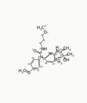 COCCCNC(=O)N(c1ccc(OC)cc1)c1ccnc(N[C@@H](C)C(C)(C)O)n1